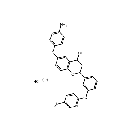 Cl.Cl.Nc1ccc(Oc2cccc(C3CC(O)c4cc(Oc5ccc(N)cn5)ccc4O3)c2)nc1